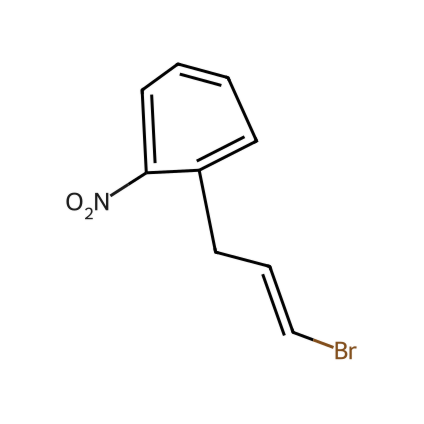 O=[N+]([O-])c1ccccc1CC=CBr